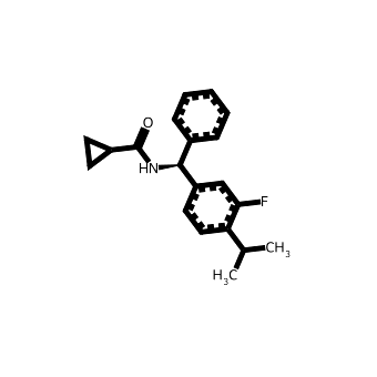 CC(C)c1ccc([C@@H](NC(=O)C2CC2)c2ccccc2)cc1F